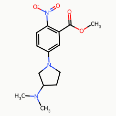 COC(=O)c1cc(N2CCC(N(C)C)C2)ccc1[N+](=O)[O-]